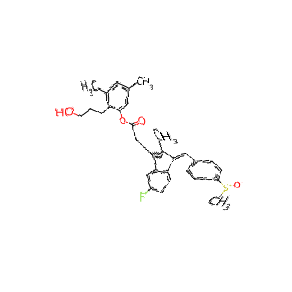 CC1=C(CC(=O)Oc2cc(C)cc(C)c2CCCO)c2cc(F)ccc2/C1=C\c1ccc([S+](C)[O-])cc1